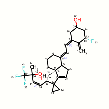 C=C1/C(=C\C=C2/CCC[C@]3(C)C(C4(C/C=C\C(C)(O)C(F)(F)F)CC4)=CCC23)CC(O)C[C@@H]1F